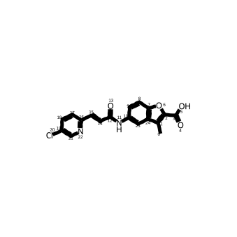 Cc1c(C(=O)O)oc2ccc(NC(=O)/C=C/c3ccc(Cl)cn3)cc12